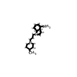 CC1CCN(CCCn2ccc3c(N)cccc32)CC1